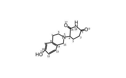 O=C1CCC(N2CCc3cc(O)ccc3C2)C(=O)N1